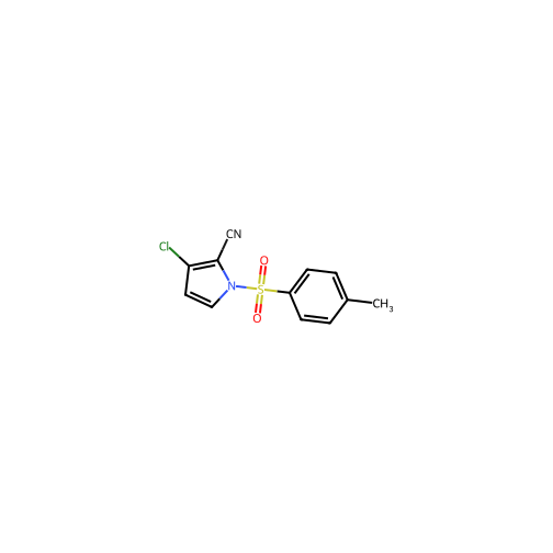 Cc1ccc(S(=O)(=O)n2ccc(Cl)c2C#N)cc1